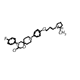 C[C@@H]1CCCN1CCCOc1ccc(N2CCC3(CC2)CN(c2ccc(F)cc2)C(=O)CO3)cc1